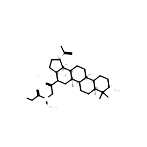 C=C(C)[C@@H]1CC[C@]2(C(=O)O)C(C(=O)CN(OC)C(=O)CO)C[C@]3(C)[C@H](CC[C@@H]4[C@@]5(C)CC[C@H](O)C(C)(C)[C@@H]5CC[C@]43C)[C@@H]12